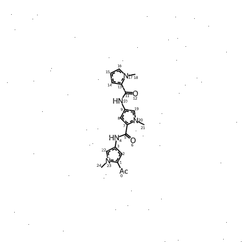 CC(=O)c1cc(NC(=O)c2cc(NC(=O)c3cccn3C)cn2C)cn1C